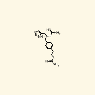 N=C(N)SCCc1ccc(C[C@@H](Cc2cnc[nH]2)SC(=N)N)cc1